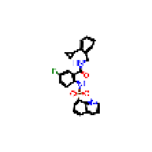 O=C(NCc1ccccc1C1CC1)c1cc(F)ccc1NS(=O)(=O)c1cccc2cccnc12